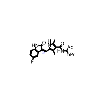 CCCC(NC(=O)c1c(C)[nH]c(/C=C2\C(=O)Nc3ccc(F)cc32)c1C)C(C)=O